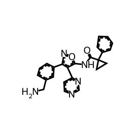 NCc1cccc(-c2noc(NC(=O)C3(c4ccccc4)CC3)c2-c2ccncn2)c1